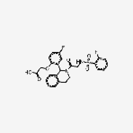 O=C(O)COc1ccc(F)cc1C1c2ccccc2CCN1C(=O)CNS(=O)(=O)c1ccccc1F